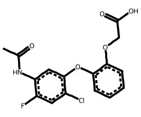 CC(=O)Nc1cc(Oc2ccccc2OCC(=O)O)c(Cl)cc1F